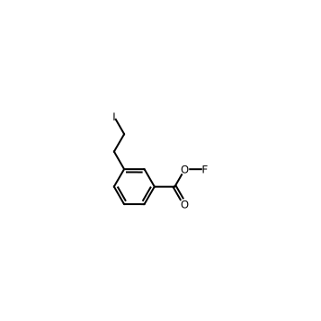 O=C(OF)c1cccc(CCI)c1